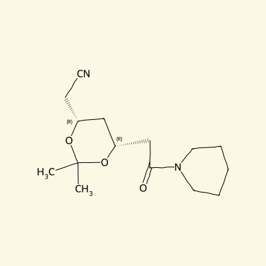 CC1(C)O[C@H](CC#N)C[C@H](CC(=O)N2CCCCC2)O1